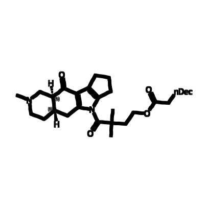 CCCCCCCCCCCC(=O)OCCC(C)(C)C(=O)n1c2c(c3c1C[C@@H]1CCN(C)C[C@H]1C3=O)CCC2